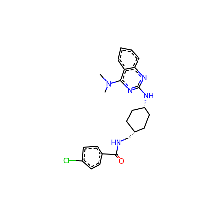 CN(C)c1nc(N[C@H]2CC[C@@H](CNC(=O)c3ccc(Cl)cc3)CC2)nc2ccccc12